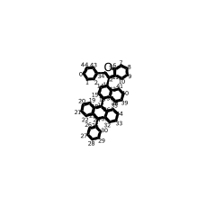 c1ccc(-c2oc3ccccc3c2-c2ccc(-c3c4ccccc4c(-c4ccccc4)c4ccccc34)c3ccccc23)cc1